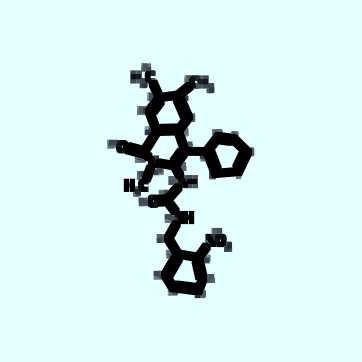 Cc1cc2c(-c3ccccc3)c(NC(=O)NCc3ccccc3[N+](=O)[O-])n(C)c(=O)c2cc1C